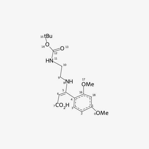 COc1ccc(/C(=C\C(=O)O)NCCNC(=O)OC(C)(C)C)c(OC)c1